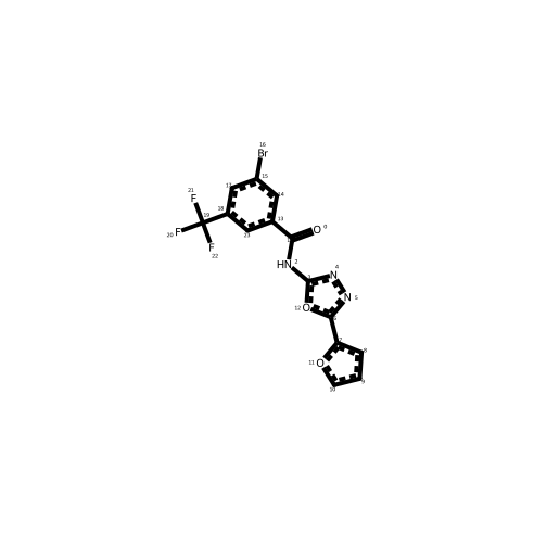 O=C(Nc1nnc(-c2ccco2)o1)c1cc(Br)cc(C(F)(F)F)c1